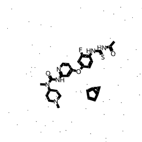 CC(=O)NC(=S)Nc1ccc(Oc2ccnc(NC(=O)N(C)C3CCN(C)CC3)c2)cc1F.c1cc2cc-2c1